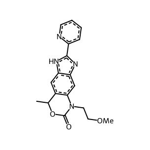 COCCN1C(=O)OC(C)c2cc3[nH]c(-c4ccccn4)nc3cc21